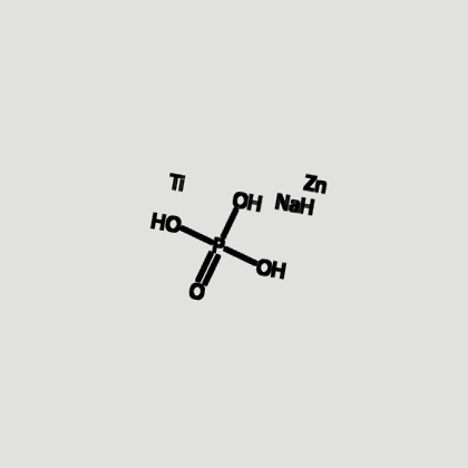 O=P(O)(O)O.[NaH].[Ti].[Zn]